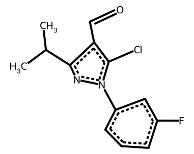 CC(C)c1nn(-c2cccc(F)c2)c(Cl)c1C=O